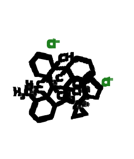 CC1=CC=CC2[CH]([Zr+2]3([C]4=CC=CC4)[CH2][CH2]3)C3(C)C4(C)C=CC=CC4(C)C4(C)C=CC=CC4(C)C3(C)C12C.[Cl-].[Cl-]